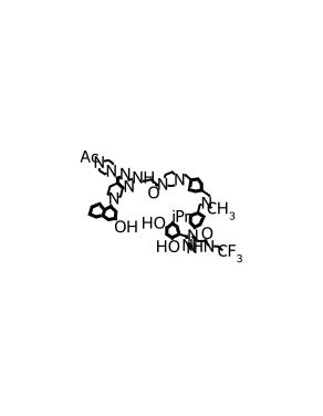 CC(=O)N1CCN(c2nc(NCCC(=O)N3CCN(Cc4ccc(CN(C)Cc5ccc(-n6c(C(=O)NCC(F)(F)F)nnc6-c6cc(C(C)C)c(O)cc6O)cc5)cc4)CC3)nc3c2CCN(c2cc(O)cc4ccccc24)C3)CC1